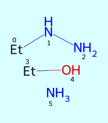 CCNN.CCO.N